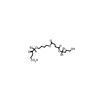 CCC(CC)(CCCO)OC(=O)CCC(=O)OCCCCOC(C)(CC)C(=O)CCC(=O)O